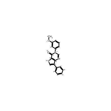 COc1cccc(-n2cnc3c(-c4ccccc4)csc3c2=O)c1